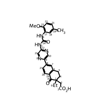 CCC1(CC(=O)O)CCc2cc(-c3cnc(NC(=O)Nc4cc(C)ccc4OC)cn3)ccc2C1=O